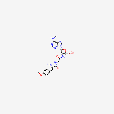 COc1ccc(C[C@H](N)C(=O)NCC(=O)N[C@@H]2C[C@H](n3cnc4c(N(C)C)ncnc43)O[C@@H]2CO)cc1